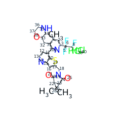 Cc1cc(C(F)(F)CF)nc(-c2ccnc3cc(CN4C(=O)C5C(C4=O)C5(C)C)sc23)c1CC1CNCCO1.Cl.Cl